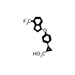 O=C(O)[C@H]1C[C@@H]1c1ccc(O[C@@H]2CCc3c2cccc3C(F)(F)F)cc1